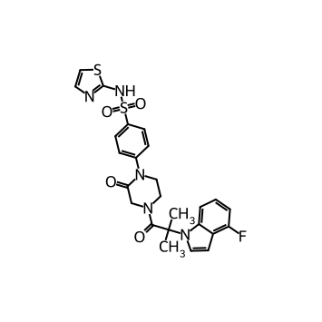 CC(C)(C(=O)N1CCN(c2ccc(S(=O)(=O)Nc3nccs3)cc2)C(=O)C1)n1ccc2c(F)cccc21